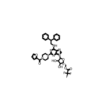 O=C(c1ccco1)N1CCN(c2nc(NCC(c3ccccc3)c3ccccc3)c3ncn(C4O[C@H](COC(=O)C(F)(F)F)C(O)C4O)c3n2)CC1